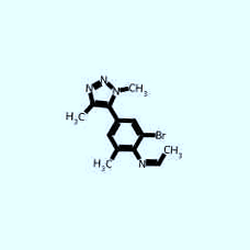 C/C=N\c1c(C)cc(-c2c(C)nnn2C)cc1Br